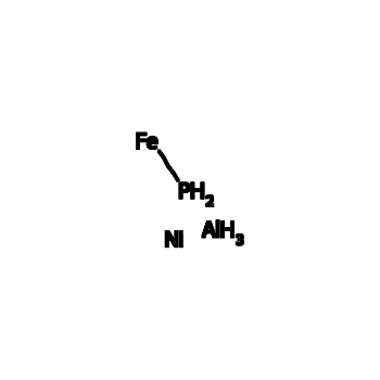 [AlH3].[Ni].[PH2][Fe]